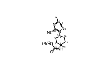 Cc1cnc(N2CCC(C)(NC(=O)OC(C)(C)C)CC2)c(C#N)n1